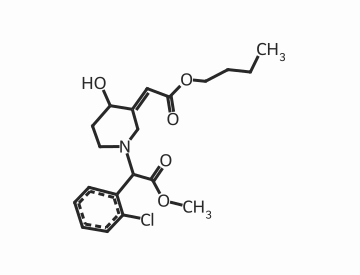 CCCCOC(=O)C=C1CN(C(C(=O)OC)c2ccccc2Cl)CCC1O